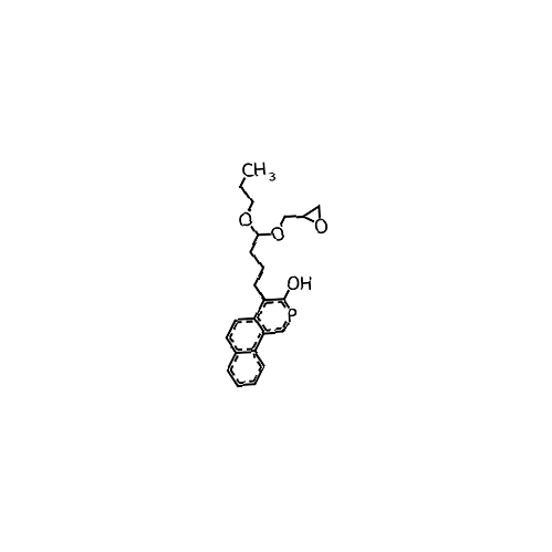 CCCOC(CCCc1c(O)pcc2c1ccc1ccccc12)OCC1CO1